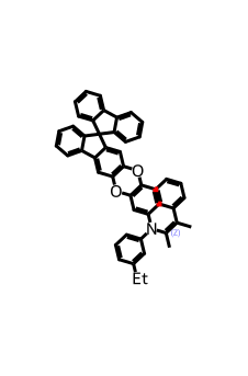 CCc1cccc(N(/C(C)=C(/C)c2ccccc2)c2ccc3c(c2)Oc2cc4c(cc2O3)C2(c3ccccc3-c3ccccc32)c2ccccc2-4)c1